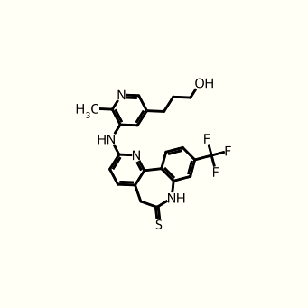 Cc1ncc(CCCO)cc1Nc1ccc2c(n1)-c1ccc(C(F)(F)F)cc1NC(=S)C2